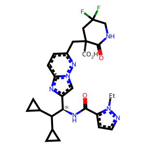 CCn1nccc1C(=O)N[C@H](c1cn2nc(CC3(C(=O)O)CC(F)(F)CNC3=O)ccc2n1)C(C1CC1)C1CC1